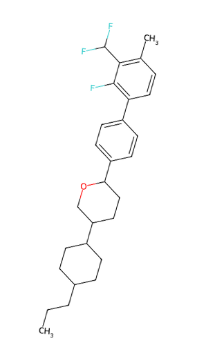 CCCC1CCC(C2CCC(c3ccc(-c4ccc(C)c(C(F)F)c4F)cc3)OC2)CC1